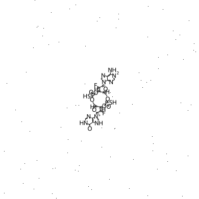 Nc1ncnc2c1ncn2[C@@H]1O[C@@H]2COP(=O)(S)O[C@H]3[C@@H](F)[C@H]([n+]4c[nH]c5c(=O)[nH]cnc54)O[C@@H]3COP(=O)(S)O[C@H]2[C@H]1F